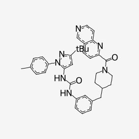 Cc1ccc(-n2nc(C(C)(C)C)cc2NC(=O)Nc2cccc(CC3CCN(C(=O)c4ccc5cnccc5n4)CC3)c2)cc1